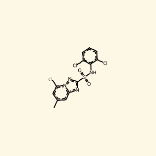 Cc1cc(Cl)n2nc(S(=O)(=O)Nc3c(Cl)cccc3Cl)nc2c1